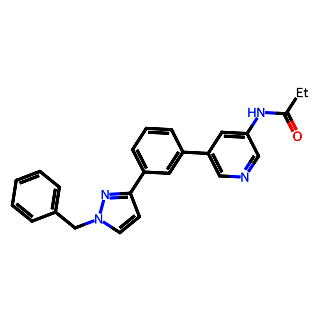 CCC(=O)Nc1cncc(-c2cccc(-c3ccn(Cc4ccccc4)n3)c2)c1